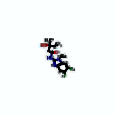 CC(O)(CC(=O)Nc1nc2cc(F)c(F)cc2n1C(C)(C)C)CC(F)(F)F